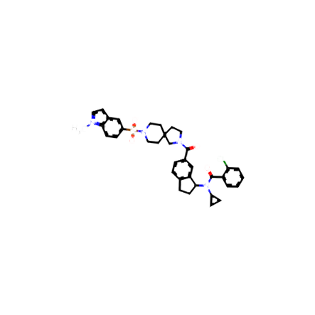 Cn1ccc2cc(S(=O)(=O)N3CCC4(CCN(C(=O)c5ccc6c(c5)C(N(C(=O)c5ccccc5Cl)C5CC5)CC6)C4)CC3)ccc21